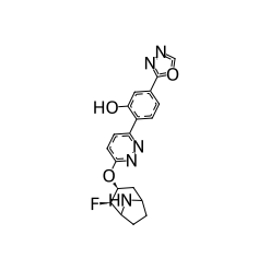 Oc1cc(-c2nnco2)ccc1-c1ccc(O[C@H]2CC3CCC(N3)[C@H]2F)nn1